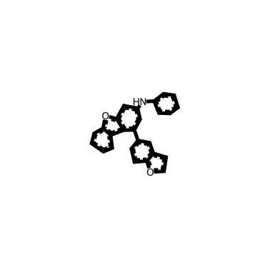 c1ccc(Nc2cc(-c3ccc4occc4c3)c3c(c2)oc2ccccc23)cc1